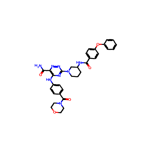 NC(=O)c1nnc(N2CCCC(NC(=O)c3ccc(Oc4ccccc4)cc3)C2)nc1Nc1ccc(C(=O)N2CCOCC2)cc1